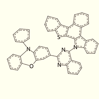 c1ccc(N2c3ccccc3Oc3cc(-c4nc(-n5c6ccccc6c6c7ccccc7c7c8ccccc8sc7c65)c5ccccc5n4)ccc32)cc1